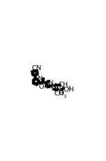 COc1c(-c2ccc(N3CC(C)N(C(=O)CO)C(C)C3)nc2)cnc2c(-c3ccc(C#N)cc3)cccc12